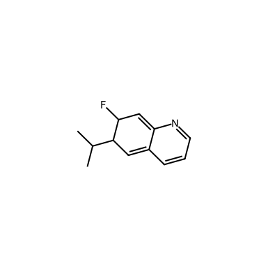 CC(C)C1C=c2cccnc2=CC1F